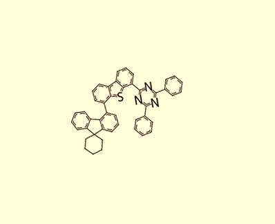 c1ccc(-c2nc(-c3ccccc3)nc(-c3cccc4c3sc3c(-c5cccc6c5-c5ccccc5C65CCCCC5)cccc34)n2)cc1